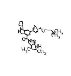 Cc1cc(C)c(CNC(=O)c2cc(-c3ccc(COCCCN(C)C)nc3)cc3c2cnn3C2CCCC2)c(=O)[nH]1